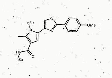 CCCCNC(=O)c1cc(-c2csc(-c3ccc(OC)cc3)n2)n(CCCC)c1C